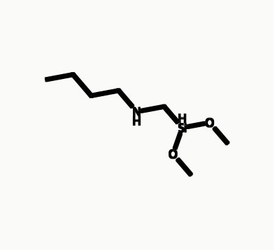 CCCCNC[SiH](OC)OC